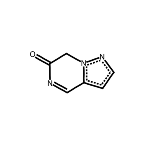 O=C1Cn2nccc2C=N1